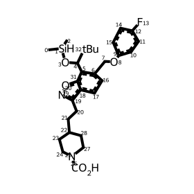 C[SiH](C)OC(c1c(COc2ccc(F)cc2)ccc2c(CCC3CCN(C(=O)O)CC3)noc12)C(C)(C)C